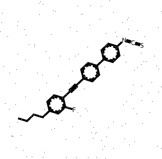 CCCCc1ccc(C#Cc2ccc(-c3ccc(N=C=S)cc3)cc2)c(F)c1